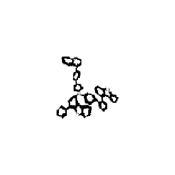 c1ccc(-c2ccc(N(c3ccc(-c4ccc(-c5cccc6ccccc56)cc4)cc3)c3ccc(-c4ccccc4-c4cccc5oc6ccccc6c45)cc3)c3c2sc2ccccc23)cc1